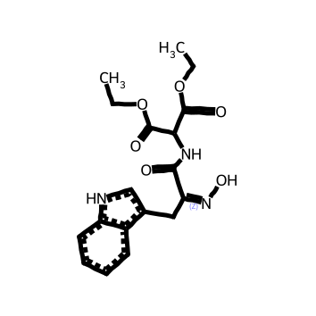 CCOC(=O)C(NC(=O)/C(Cc1c[nH]c2ccccc12)=N\O)C(=O)OCC